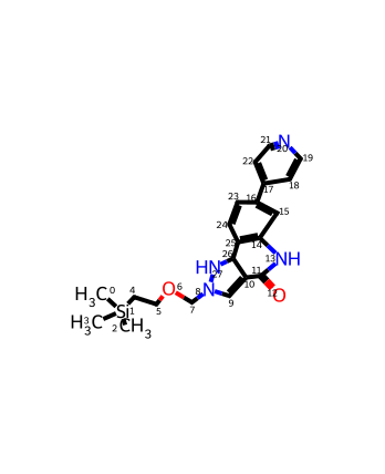 C[Si](C)(C)CCOCN1C=C2C(=O)Nc3cc(-c4ccncc4)ccc3C2N1